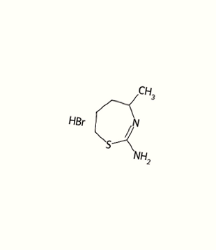 Br.CC1CCCSC(N)=N1